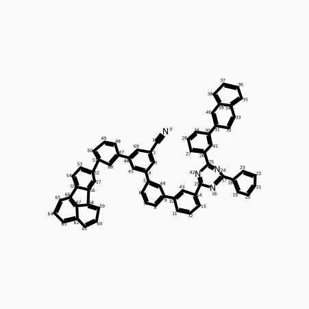 N#Cc1cc(-c2cccc(-c3cccc(-c4nc(-c5ccccc5)nc(-c5cccc(-c6ccc7ccccc7c6)c5)n4)c3)c2)cc(-c2cccc(-c3ccc4c(c3)-c3cccc5cccc-4c35)c2)c1